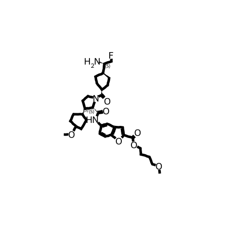 COCCCCOC(=O)c1cc2cc(NC(=O)[C@@H]3[C@H](C4CCC(OC)CC4)CCN3C(=O)[C@H]3CC[C@H]([C@H](N)CF)CC3)ccc2o1